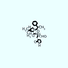 C[C@@H](C(=O)N1C[C@H]2[C@@H]([C@H]1C(=O)N[C@H](C=O)C[C@@H]1CCNC1=O)C2(C)C)c1ccccc1